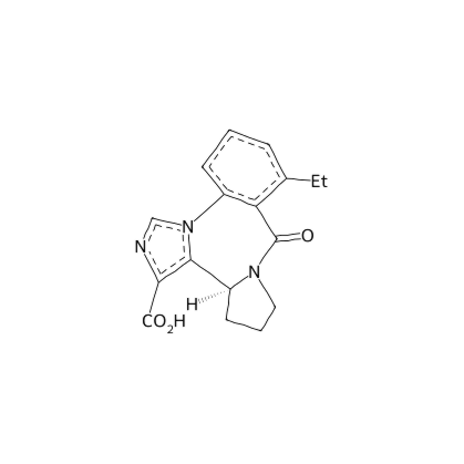 CCc1cccc2c1C(=O)N1CCC[C@H]1c1c(C(=O)O)ncn1-2